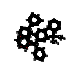 CC1(C)c2ccccc2-c2cc(-c3c(-c4ccccc4)ccc4c3CCCC4)c(N(c3ccccc3)c3ccccc3)cc21